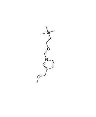 COCc1cnn(COCC[Si](C)(C)C)c1